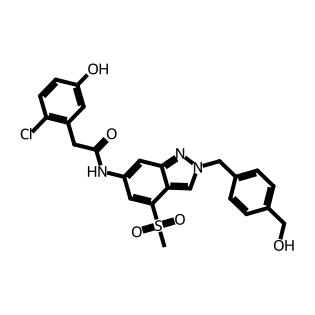 CS(=O)(=O)c1cc(NC(=O)Cc2cc(O)ccc2Cl)cc2nn(Cc3ccc(CO)cc3)cc12